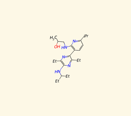 CCc1nc(-c2ccc(C(C)C)nc2NCC(C)O)c(CC)nc1NC(CC)CC